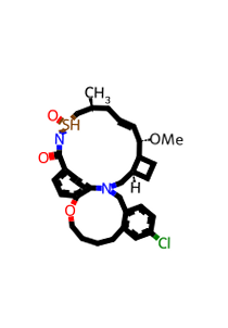 CO[C@H]1/C=C/C[C@H](C)C/[SH](=O)=N\C(=O)c2ccc3c(c2)N(Cc2ccc(Cl)cc2CCCCO3)C[C@@H]2CCC21